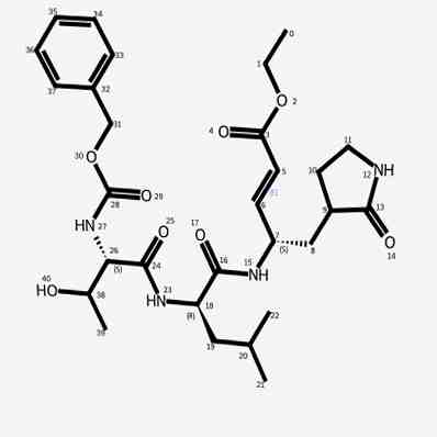 CCOC(=O)/C=C/[C@H](CC1CCNC1=O)NC(=O)[C@@H](CC(C)C)NC(=O)[C@@H](NC(=O)OCc1ccccc1)C(C)O